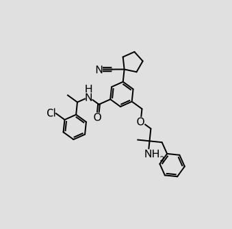 CC(NC(=O)c1cc(COCC(C)(N)Cc2ccccc2)cc(C2(C#N)CCCC2)c1)c1ccccc1Cl